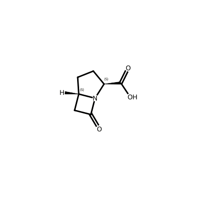 O=C(O)[C@@H]1CC[C@H]2CC(=O)N21